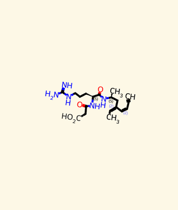 C#C/C=C\C(=C/C)C[C@H](C)NC(=O)[C@H](CCCNC(=N)N)NC(=O)CC(=O)O